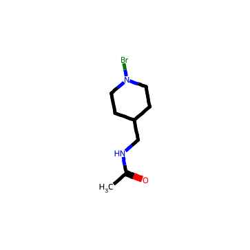 CC(=O)NCC1CCN(Br)CC1